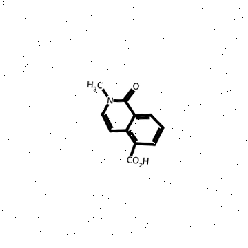 Cn1ccc2c(C(=O)O)cccc2c1=O